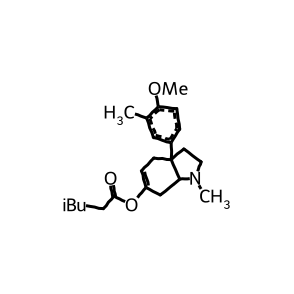 CCC(C)CC(=O)OC1=CCC2(c3ccc(OC)c(C)c3)CCN(C)C2C1